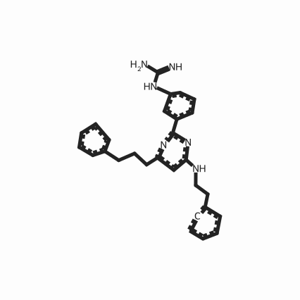 N=C(N)Nc1cccc(-c2nc(CCCc3ccccc3)cc(NCCc3ccccc3)n2)c1